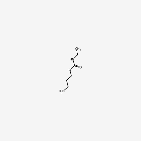 CCNC(=O)OCCCN